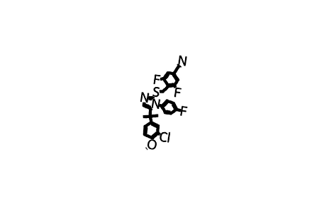 COc1ccc(C(C)(C)c2cnc(SCc3c(F)cc(C#N)cc3F)n2-c2ccc(F)cc2)cc1Cl